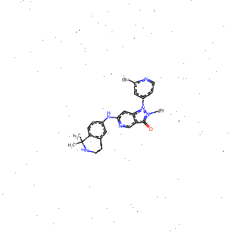 CC(C)n1c(=O)c2cnc(Nc3ccc4c(c3)CCNC4(C)C)cc2n1-c1ccnc(C(C)(C)C)c1